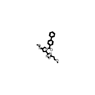 COCCc1nc(C2CC(=NOC)CN2C(=O)c2ccc(-c3ccccc3)cc2)no1